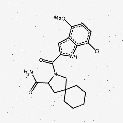 COc1ccc(Cl)c2[nH]c(C(=O)N3CC4(CCCCC4)CC3C(N)=O)cc12